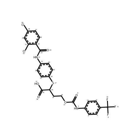 O=C(Nc1ccc(C(F)(F)F)cc1)OCCC(Sc1ccc(NC(=O)c2ccc(Cl)cc2Cl)cc1)C(=O)O